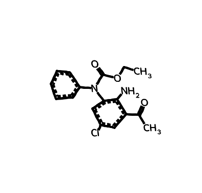 CCOC(=O)N(c1ccccc1)c1cc(Cl)cc(C(C)=O)c1N